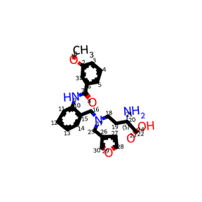 COc1cccc(C(=O)Nc2ccccc2CN(CC[C@H](N)C(=O)O)Cc2ccoc2)c1